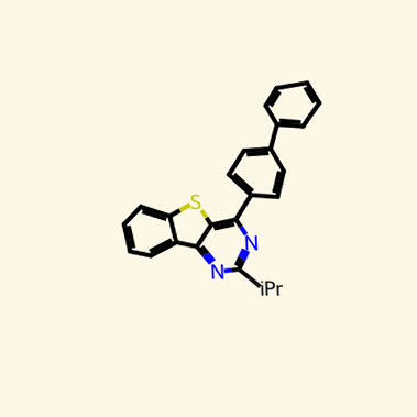 CC(C)c1nc(-c2ccc(-c3ccccc3)cc2)c2sc3ccccc3c2n1